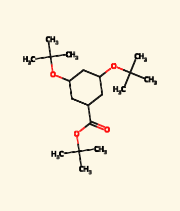 CC(C)(C)OC(=O)C1CC(OC(C)(C)C)CC(OC(C)(C)C)C1